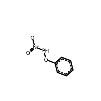 O=[N+]([O-])POc1ccccc1